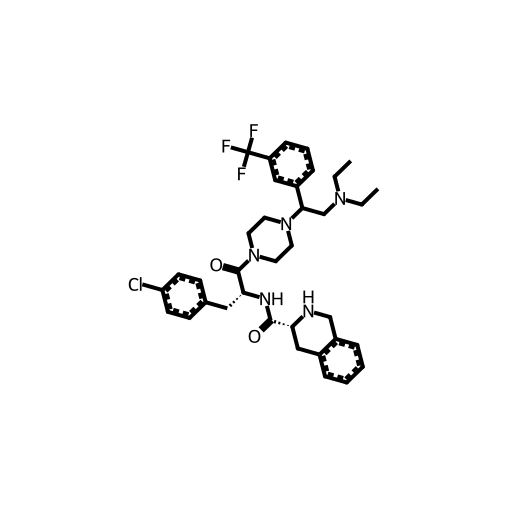 CCN(CC)CC(c1cccc(C(F)(F)F)c1)N1CCN(C(=O)[C@@H](Cc2ccc(Cl)cc2)NC(=O)[C@H]2Cc3ccccc3CN2)CC1